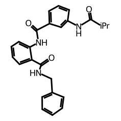 CC(C)C(=O)Nc1cccc(C(=O)Nc2ccccc2C(=O)NCc2ccccc2)c1